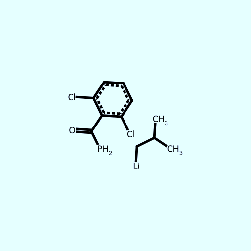 O=C(P)c1c(Cl)cccc1Cl.[Li][CH2]C(C)C